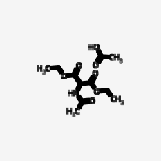 CC(=O)O.CCOC(=O)C(NC(C)=O)C(=O)OCC